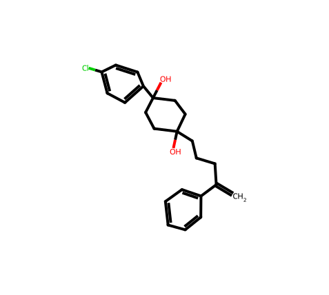 C=C(CCCC1(O)CCC(O)(c2ccc(Cl)cc2)CC1)c1ccccc1